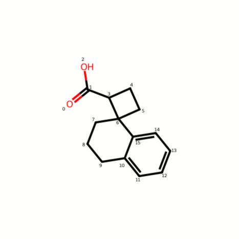 O=C(O)C1CCC12CCCc1ccccc12